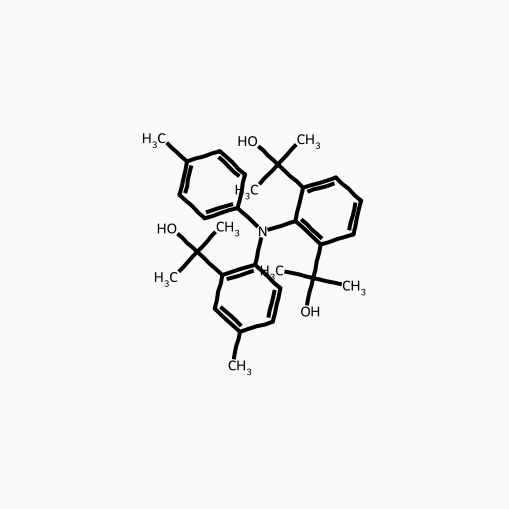 Cc1ccc(N(c2ccc(C)cc2C(C)(C)O)c2c(C(C)(C)O)cccc2C(C)(C)O)cc1